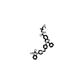 CN(C)CC(C)(C)CNC(=O)c1ccc2c(c1)=CN(c1ccc(CN3CCC(n4c(=O)[nH]c5ccccc54)CC3)cc1)C(c1ccccc1)N=2